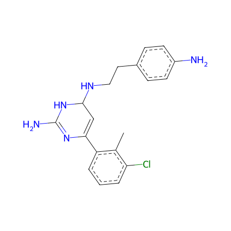 Cc1c(Cl)cccc1C1=CC(NCCc2ccc(N)cc2)NC(N)=N1